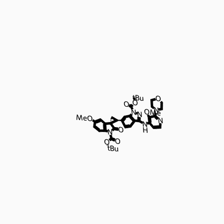 COc1ccc2c(c1)[C@]1(C[C@H]1c1ccc3c(Nc4ccnc(N5CCOCC5)c4OC)nn(C(=O)OC(C)(C)C)c3c1)C(=O)N2C(=O)OC(C)(C)C